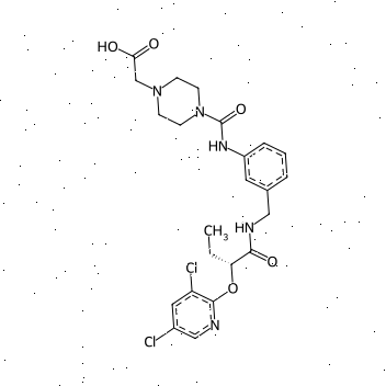 CC[C@@H](Oc1ncc(Cl)cc1Cl)C(=O)NCc1cccc(NC(=O)N2CCN(CC(=O)O)CC2)c1